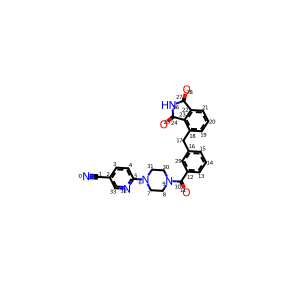 N#Cc1ccc(N2CCN(C(=O)c3cccc(Cc4cccc5c4C(=O)NC5=O)c3)CC2)nc1